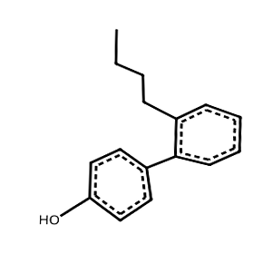 CCCCc1ccccc1-c1ccc(O)cc1